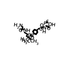 CC1(C)OB(c2ccc(COC(=O)NC(P=S)C(=O)O)cc2)OC1(C)CCCNC(=O)CN